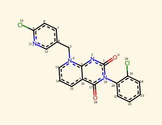 O=c1nc2n(Cc3ccc(Cl)nc3)cccc-2c(=O)n1-c1ccccc1Cl